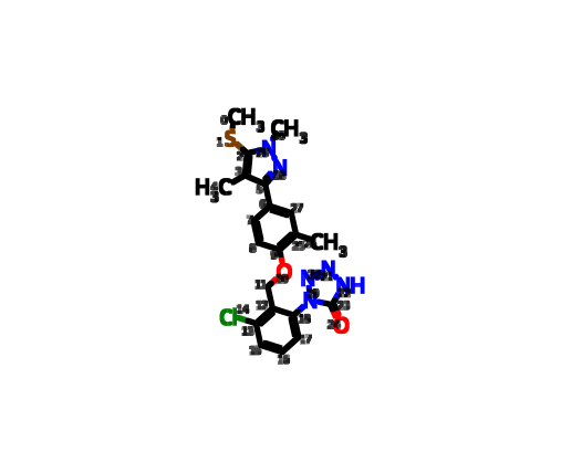 CSc1c(C)c(-c2ccc(OCc3c(Cl)cccc3-n3nn[nH]c3=O)c(C)c2)nn1C